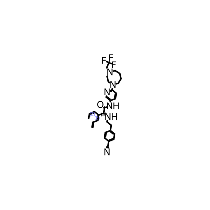 C=C/C=C(\C=C/C)[C@H](NCCc1ccc(C#N)cc1)C(=O)Nc1ccc(N2CCCCN(CC(F)(F)F)CC2)nc1